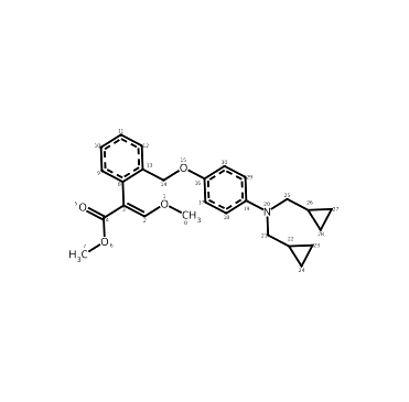 CO/C=C(/C(=O)OC)c1ccccc1COc1ccc(N(CC2CC2)CC2CC2)cc1